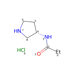 CCC(=O)N[C@H]1CCNC1.Cl